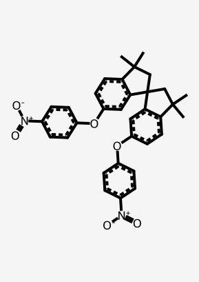 CC1(C)CC2(CC(C)(C)c3ccc(Oc4ccc([N+](=O)[O-])cc4)cc32)c2cc(Oc3ccc([N+](=O)[O-])cc3)ccc21